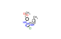 CS(=O)(=O)Cc1cccc(Nc2ncc(Cl)c(N[C@H]3C4CC5CC3C[C@@](C)(C5)C4)n2)c1